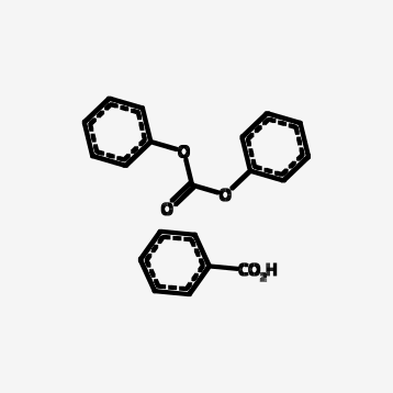 O=C(O)c1ccccc1.O=C(Oc1ccccc1)Oc1ccccc1